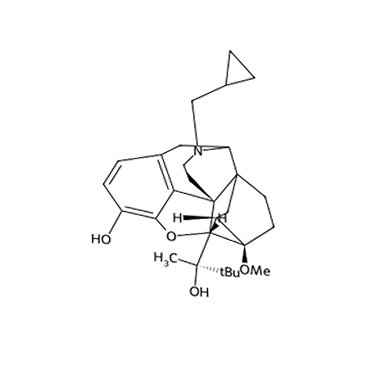 CO[C@]12CCC3(C[C@H]1[C@](C)(O)C(C)(C)C)C1Cc4ccc(O)c5c4[C@@]3(CCN1CC1CC1)[C@H]2O5